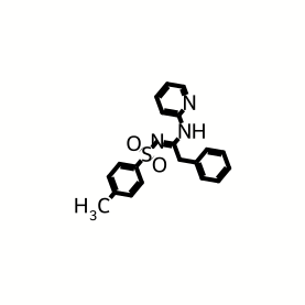 Cc1ccc(S(=O)(=O)N=C(Cc2ccccc2)Nc2ccccn2)cc1